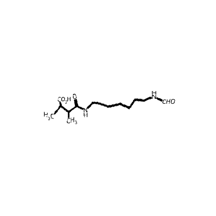 CC(C(=O)O)C(C)C(=O)NCCCCCCNC=O